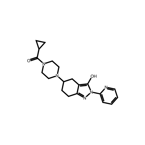 O=C(C1CC1)N1CCN(C2CCc3nn(-c4ccccn4)c(O)c3C2)CC1